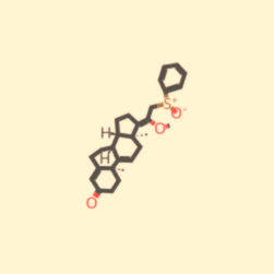 CO/C(C[S+]([O-])c1ccccc1)=C1/CC[C@H]2[C@@H]3CCC4=CC(=O)CC[C@]4(C)C3=CC[C@]12C